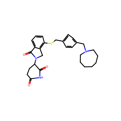 O=C1CCC(N2Cc3c(SCc4ccc(CN5CCCCCCC5)cc4)cccc3C2=O)C(=O)N1